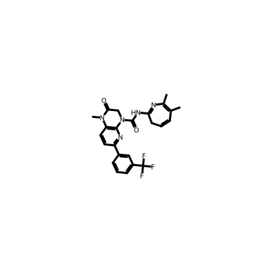 CC1=C(C)N=C(NC(=O)N2CC(=O)N(C)c3ccc(-c4cccc(C(F)(F)F)c4)nc32)CC=C1